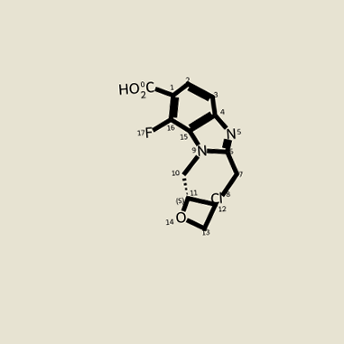 O=C(O)c1ccc2nc(CCl)n(C[C@@H]3CCO3)c2c1F